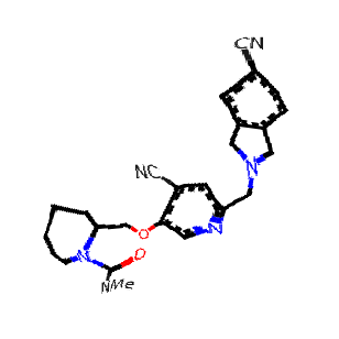 CNC(=O)N1CCCCC1COc1cnc(CN2Cc3ccc(C#N)cc3C2)cc1C#N